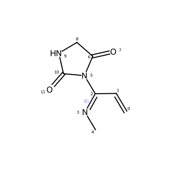 C=C/C(=N\C)N1C(=O)CNC1=O